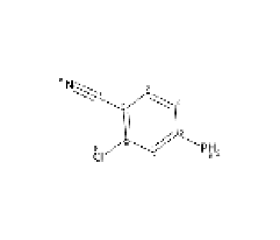 N#Cc1ccc(P)cc1Cl